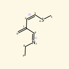 C=C(/C=C\SC)/C=N\CC